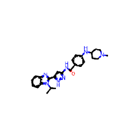 CC(C)n1c(-c2cc(NC(=O)c3ccc(NC4CCN(C)CC4)cc3)n[nH]2)nc2ccccc21